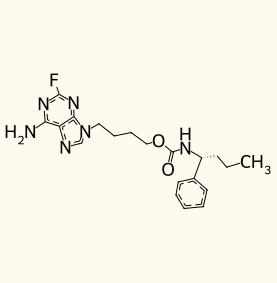 CCC[C@@H](NC(=O)OCCCCn1cnc2c(N)nc(F)nc21)c1ccccc1